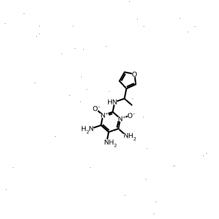 CC(Nc1[n+]([O-])c(N)c(N)c(N)[n+]1[O-])c1ccoc1